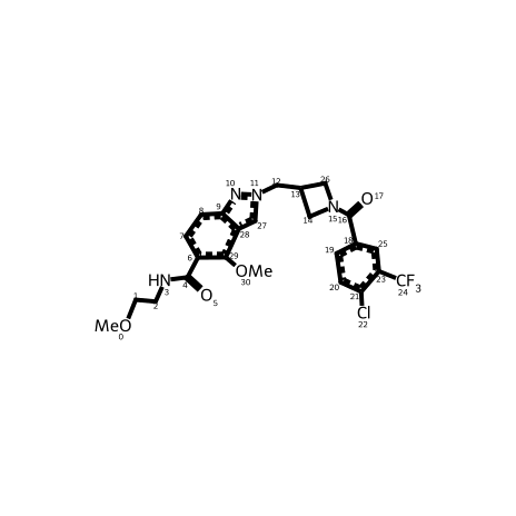 COCCNC(=O)c1ccc2nn(CC3CN(C(=O)c4ccc(Cl)c(C(F)(F)F)c4)C3)cc2c1OC